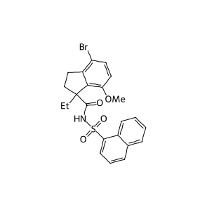 CCC1(C(=O)NS(=O)(=O)c2cccc3ccccc23)CCc2c(Br)ccc(OC)c21